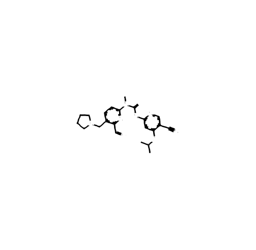 CC(C)Oc1cc(NC(=O)N(C)c2ccc(CN3CCCC3)c(C=O)n2)ncc1C#N